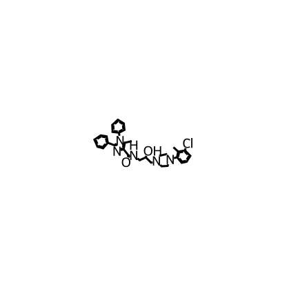 Cc1c(Cl)cccc1N1CCN(CC(O)CNC(=O)c2nc(-c3ccccc3)n(-c3ccccc3)c2C)CC1